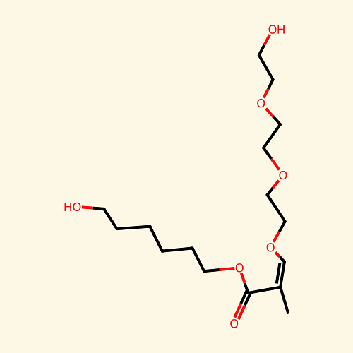 CC(=COCCOCCOCCO)C(=O)OCCCCCCO